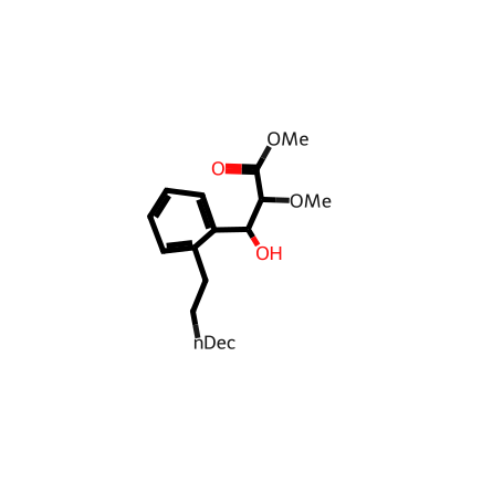 CCCCCCCCCCCCc1ccccc1C(O)C(OC)C(=O)OC